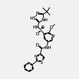 COc1ncc(NC(=O)c2csc(-c3ccccc3)n2)cc1S(=O)(=O)NC1=[SH]N=C(C(C)(C)C)N1